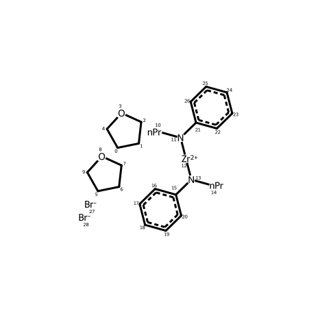 C1CCOC1.C1CCOC1.CCC[N]([Zr+2][N](CCC)c1ccccc1)c1ccccc1.[Br-].[Br-]